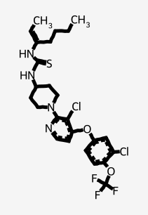 C/C=C(\CCCC)NC(=S)NC1CCN(c2nccc(Oc3ccc(OC(F)(F)F)c(Cl)c3)c2Cl)CC1